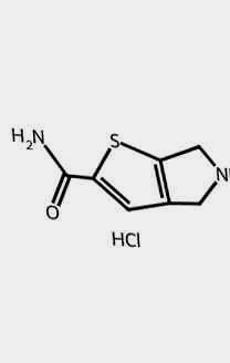 Cl.NC(=O)c1cc2c(s1)CNC2